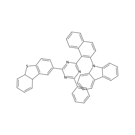 C1=CC2Sc3ccc(-c4nc(-c5ccccc5)nc(-c5c(-n6c7ccccc7c7ccccc76)ccc6ccccc56)n4)cc3C2C=C1